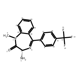 CN1C(=O)[C@@H](N)N=C(c2ccc(C(F)(F)F)cc2)c2ccccc21